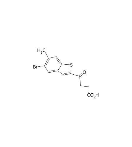 Cc1cc2sc(C(=O)CCC(=O)O)cc2cc1Br